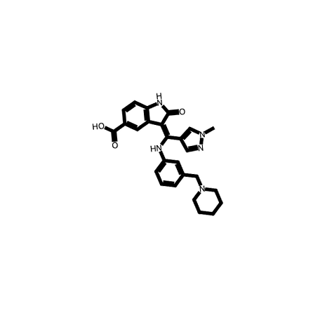 Cn1cc(C(Nc2cccc(CN3CCCCC3)c2)=C2C(=O)Nc3ccc(C(=O)O)cc32)cn1